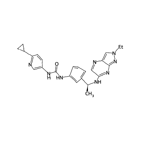 CCn1cc2ncc(N[C@@H](C)c3cccc(NC(=O)Nc4ccc(C5CC5)nc4)c3)nc2n1